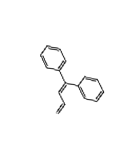 [CH]=CC=C(c1ccccc1)c1ccccc1